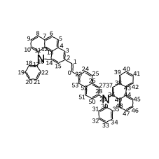 C(=C\c1cc2ccc3cccc4c3c2c(c1)n4-c1ccccc1)/c1ccc2cc(N(c3ccccc3)c3cc4ccccc4c4ccccc34)ccc2c1